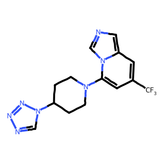 FC(F)(F)c1cc(N2CCC(n3cnnn3)CC2)n2cncc2c1